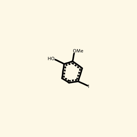 COc1cc(I)ccc1O